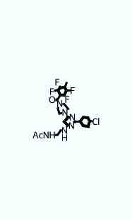 CC(=O)NCCNc1cc(N2CCN(C(=O)c3c(F)c(F)c(C)c(F)c3F)CC2)nc(-c2ccc(Cl)cc2)n1